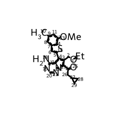 CCOCc1c(-c2cc3cc(C)cc(OC)c3s2)c2c(N)ncnn2c1C(=O)CC1CC1